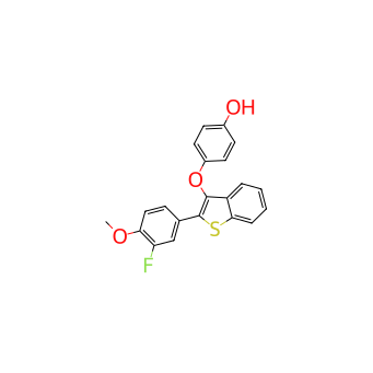 COc1ccc(-c2sc3ccccc3c2Oc2ccc(O)cc2)cc1F